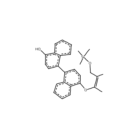 CC(CO[Si](C)(C)C)=C(C)Oc1ccc(-c2ccc(O)c3ccccc23)c2ccccc12